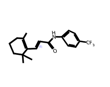 CC1=C(/C=C/C(=O)Nc2ccc(C(F)(F)F)cc2)C(C)(C)CCC1